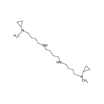 CN(CCCCNCCCCNCCCCN(C)C1CC1)C1CC1